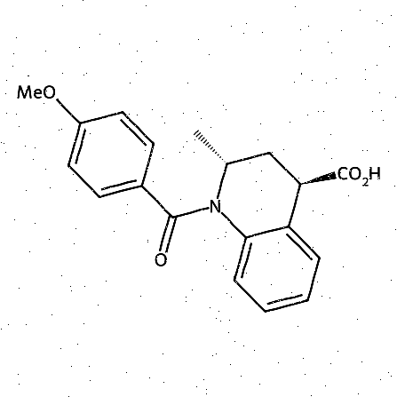 COc1ccc(C(=O)N2c3ccccc3[C@H](C(=O)O)C[C@H]2C)cc1